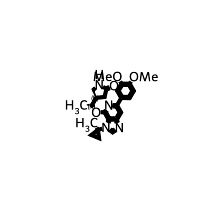 COc1ccc(-c2cc3ncn(C4(C)CC4)c3c(O[C@H](C)[C@H]3CNC(=O)C3)n2)cc1OC